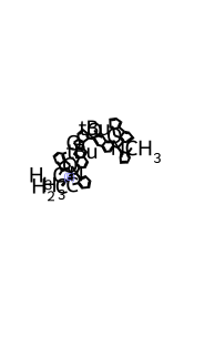 C=C/C=C(\c1oc2c(C(C)(C)C)cccc2c1C)N(c1ccc2cc3c(cc2c1)oc1ccc2oc4cc5cc(N(c6ccccc6C)c6cccc7c6oc6c(C(C)(C)C)cccc67)ccc5cc4c2c13)c1ccccc1C